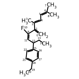 C=C(/C(C)=C/C=C(C)C)/C(F)=C\C(CC)c1ccc(CC)cc1